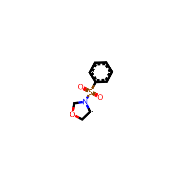 O=S(=O)(c1ccccc1)N1[CH]COC1